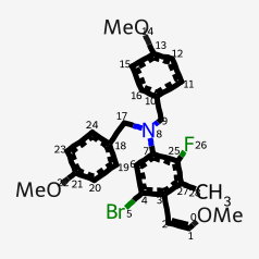 CO/C=C\c1c(Br)cc(N(Cc2ccc(OC)cc2)Cc2ccc(OC)cc2)c(F)c1C